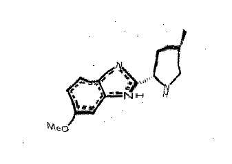 COc1ccc2nc([C@@H]3C[C@@H](C)CN3)[nH]c2c1